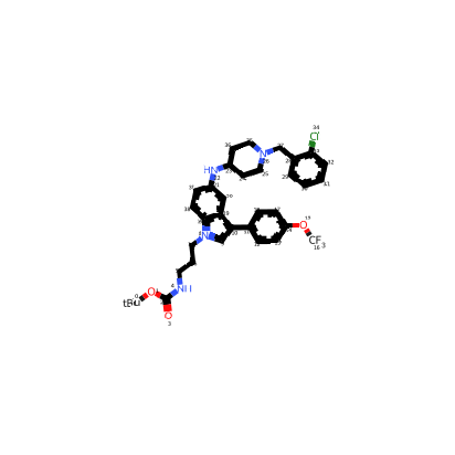 CC(C)(C)OC(=O)NCCCn1cc(-c2ccc(OC(F)(F)F)cc2)c2cc(NC3CCN(Cc4ccccc4Cl)CC3)ccc21